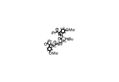 COc1ccc2c(C(=O)C(C)C)nn(CC(=O)NCCN(CCC(C)(C)C)C(=O)Cn3nc(C(=O)C(C)C)c4ccc(OC)cc43)c2c1